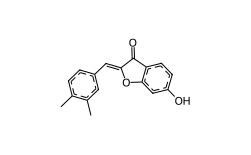 Cc1ccc(/C=C2\Oc3cc(O)ccc3C2=O)cc1C